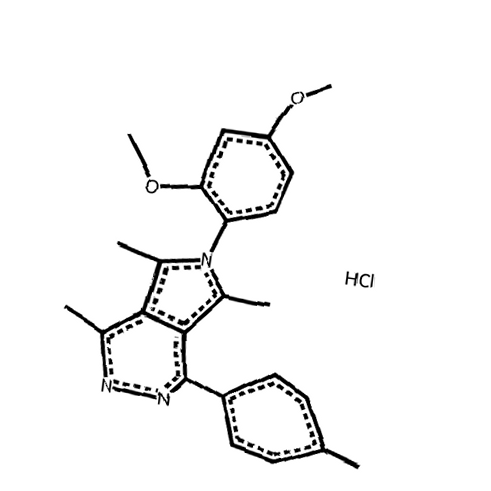 COc1ccc(-n2c(C)c3c(C)nnc(-c4ccc(C)cc4)c3c2C)c(OC)c1.Cl